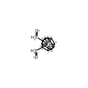 O=[PH2][C]12[CH]3[CH]4[CH]5[C]1([PH2]=O)[Fe]43521678[CH]2[CH]1[CH]6[CH]7[CH]28